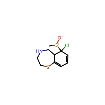 C[S+]([O-])C1(Cl)C=CC=C2SCCNCC21